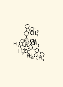 CC1(C)c2ccccc2-c2ccc(-c3cc4c5c(c3)C(C)(C)c3cc(-c6ccc7c(c6)C(C)(C)c6ccccc6-7)cc6c3N5c3c(cccc3C6(C)C)C4(C)C)cc21